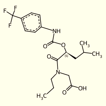 CCCN(CC(=O)O)C(=O)[C@H](CC(C)C)OC(=O)Nc1ccc(C(F)(F)F)cc1